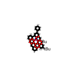 CC(C)(C)c1cc(-c2cccc3cccc(-c4ccccc4N(c4ccc(-c5ccccc5)cc4-c4ccccc4)c4ccccc4-c4ccccc4-c4ccccc4-c4ccccc4)c23)cc(C(C)(C)C)c1